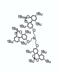 CC(C)(C)c1cc(C(C)(C)C)c2c(c1)op(C(C)(C)C)oc1c(C(C)(C)C)cc(OCCN(CCOc3cc(C(C)(C)C)c4op(C(C)(C)C)oc5cc(C(C)(C)C)cc(C(C)(C)C)c5c4c3)CCOc3cc(C(C)(C)C)c4op(C(C)(C)C)oc5cc(C(C)(C)C)cc(C(C)(C)C)c5c4c3)cc12